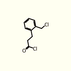 O=C(Cl)CCc1ccccc1CCl